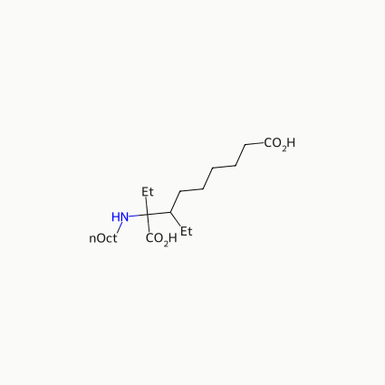 CCCCCCCCNC(CC)(C(=O)O)C(CC)CCCCCC(=O)O